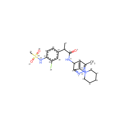 CC(C(=O)NC1C2=NN=C(C(F)(F)F)C1=C2N1CCCCC1)c1ccc(NS(C)(=O)=O)c(F)c1